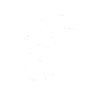 CCCCCC(C)(C)OOC(CC)(CCCC)OOC(C)(C)CCCCC